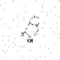 CN1N=Cc2ccccc2CC1=O